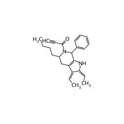 C#CC(=O)N1C(CCCC)Cc2c([nH]c(=C/C)/c2=C\C)C1c1ccccc1